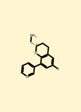 NC[C@@H]1CCc2cc(F)cc(-c3cccnc3)c2O1